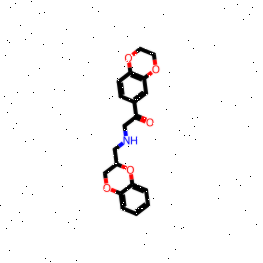 O=C(CNCC1COc2ccccc2O1)c1ccc2c(c1)OCCO2